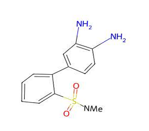 CNS(=O)(=O)c1ccccc1-c1ccc(N)c(N)c1